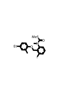 CCc1ccc(OCc2c(I)cccc2N(C)C(=O)SC)c(C)c1